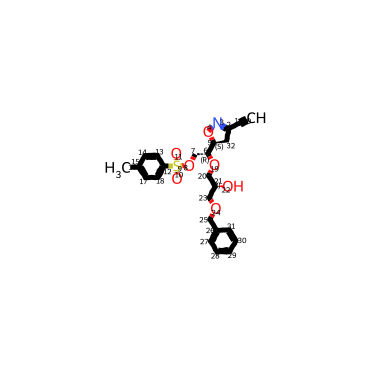 C#CC1=NO[C@H]([C@@H](COS(=O)(=O)c2ccc(C)cc2)OC[C@H](O)COCc2ccccc2)C1